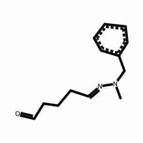 CN(Cc1ccccc1)N=CCCCC=O